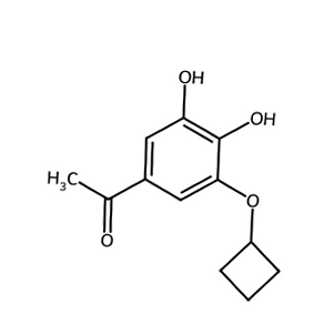 CC(=O)c1cc(O)c(O)c(OC2CCC2)c1